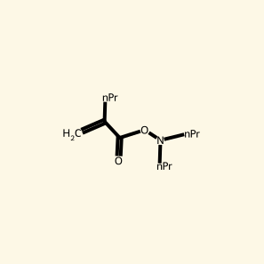 C=C(CCC)C(=O)ON(CCC)CCC